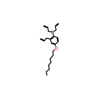 C=CCB(CC=C)c1ccc(OCCCCCCCC)cc1CC=C